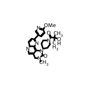 COc1ccc(-c2ccc3ncc4c(c3n2)N(C2CCN(C(=O)C(C)(C)O)CC2)C(=O)N(C)C4)cn1